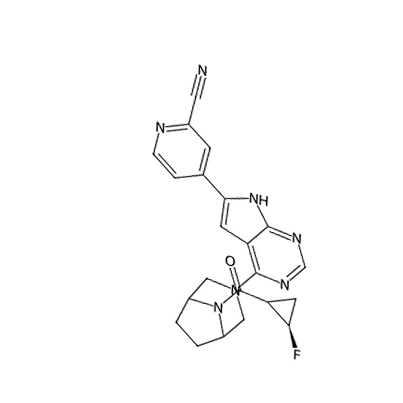 N#Cc1cc(-c2cc3c(N4CC5CCC(C4)N5C(=O)C4C[C@H]4F)ncnc3[nH]2)ccn1